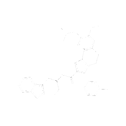 COc1cc2c(cc1OC(C)C)-c1cc(C(=O)NC(CO)Cc3c[nH]c4ccccc34)c(-c3cccc(C)c3)n1CC2